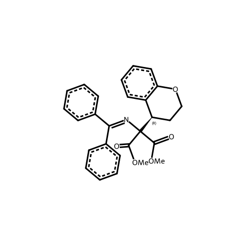 COC(=O)C(N=C(c1ccccc1)c1ccccc1)(C(=O)OC)[C@@H]1CCOc2ccccc21